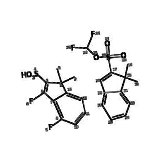 CC1(C)C(S(=O)(=O)O)=C(F)c2c(F)cccc21.CC1(C)C(S(=O)(=O)OC(F)F)=Cc2ccccc21